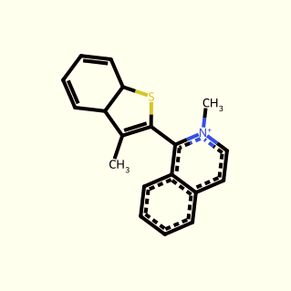 CC1=C(c2c3ccccc3cc[n+]2C)SC2C=CC=CC12